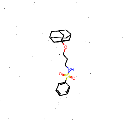 O=S(=O)(NCCCOC12CC3CC(CC(C3)C1)C2)c1ccccc1